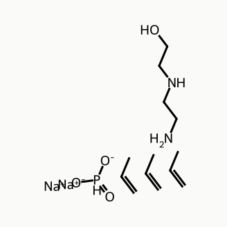 C=CC.C=CC.C=CC.NCCNCCO.O=[PH]([O-])[O-].[Na+].[Na+]